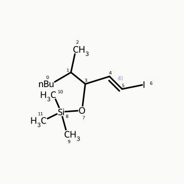 CCCCC(C)C(/C=C/I)O[Si](C)(C)C